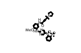 COc1ccc(NC(=O)C#CC(C)(C)N2CCCC2)cc1Nc1ncc(N(Cl)c2ccccc2P(C)(C)=O)cn1